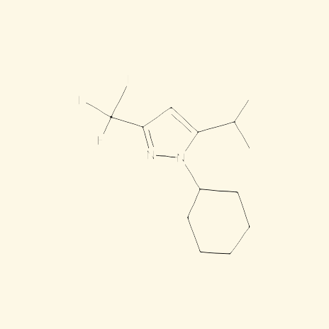 CC(C)c1cc(C(F)(F)F)nn1C1CCCCC1